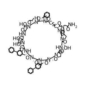 CC(C)[C@@H]1NC(=O)[C@H](Cc2ccccc2)NC(=O)CSC[C@@H](C(=O)NCC(N)=O)NC(=O)[C@@H]2CCCN2C(=O)[C@H](CO)NC(=O)[C@@H]2CCCN2C(=O)[C@H](C)N(C)C(=O)[C@H](Cc2ccc(-c3ccccc3)cc2)NC(=O)[C@H](C)N(C)C(=O)[C@H](Cc2ccc(-c3ccccc3)cc2)NC(=O)[C@H]([C@@H](C)O)NC(=O)[C@H]([C@@H](C)O)NC(=O)[C@H](CO)NC1=O